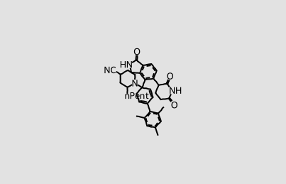 CCCCCC1CC(C#N)CCN1C1(c2c(C3CCC(=O)NC3=O)ccc3c2CNC3=O)C=CC(c2c(C)cc(C)cc2C)=CC1